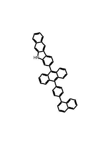 c1ccc2cc3c(cc2c1)[nH]c1cc(-c2c4ccccc4c(-c4ccc(-c5cccc6ccccc56)cc4)c4ccccc24)ccc13